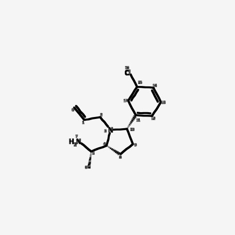 C=CCN1[C@@H]([C@H](C)N)CC[C@H]1c1cccc(Cl)c1